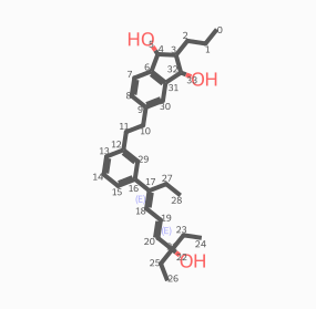 CCCC1C(O)c2ccc(CCc3cccc(/C(=C/C=C/C(O)(CC)CC)CC)c3)cc2C1O